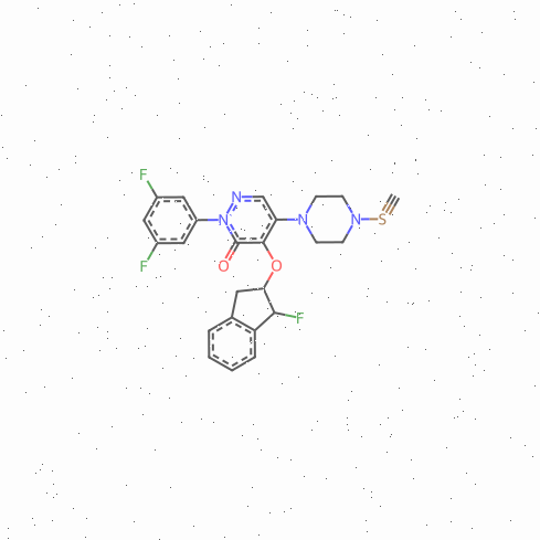 C#SN1CCN(c2cnn(-c3cc(F)cc(F)c3)c(=O)c2OC2Cc3ccccc3C2F)CC1